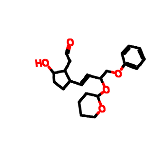 O=CCC1C(O)CCC1C=CC(COc1ccccc1)OC1CCCCO1